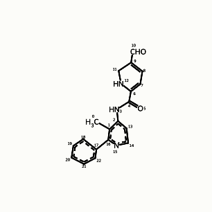 Cc1c(NC(=O)C2=CC=C(C=O)CN2)ccnc1-c1ccccc1